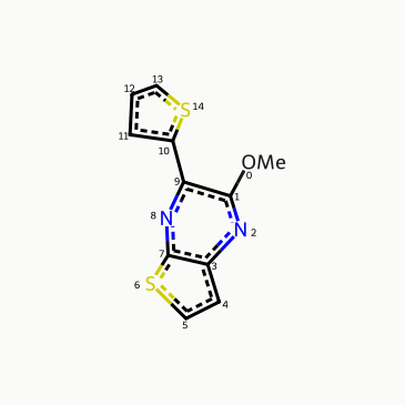 COc1nc2ccsc2nc1-c1cccs1